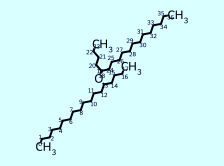 CCCCCCCCCCCCCC(CCCC)OC(CCCC)CCCCCCCCCCCCC